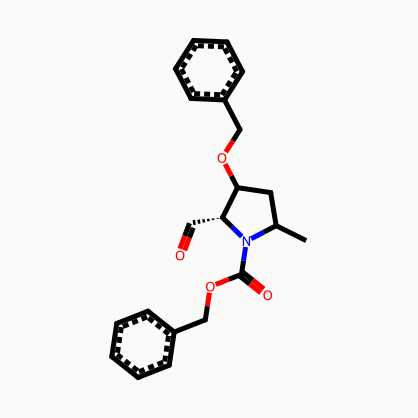 CC1CC(OCc2ccccc2)[C@@H](C=O)N1C(=O)OCc1ccccc1